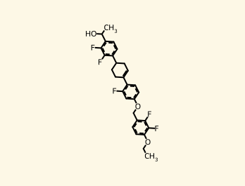 CCOc1ccc(COc2ccc(C3=CCC(c4ccc(C(C)O)c(F)c4F)CC3)c(F)c2)c(F)c1F